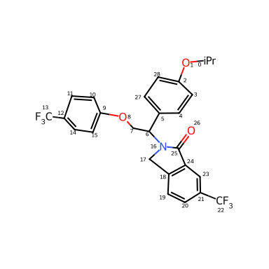 CC(C)Oc1ccc(C(COc2ccc(C(F)(F)F)cc2)N2Cc3ccc(C(F)(F)F)cc3C2=O)cc1